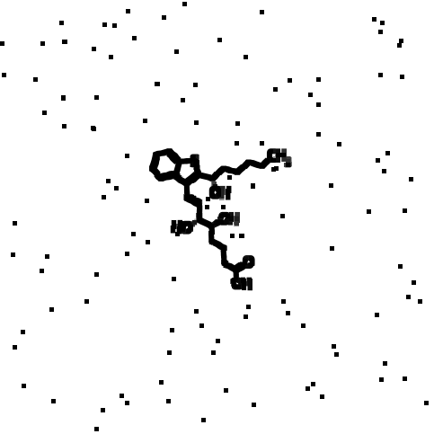 CCCCC[C@H](O)c1sc2ccccc2c1/C=C/[C@@H](O)[C@@H](O)CCCC(=O)O